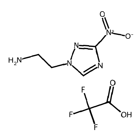 NCCn1cnc([N+](=O)[O-])n1.O=C(O)C(F)(F)F